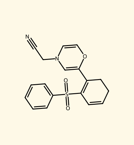 N#CCN1C=COC(C2=C(S(=O)(=O)c3ccccc3)C=CCC2)=C1